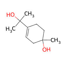 CC1(O)CC=C(C(C)(C)O)CC1